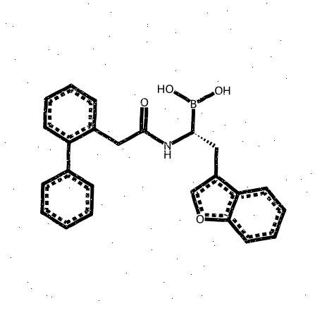 O=C(Cc1ccccc1-c1ccccc1)N[C@@H](Cc1coc2ccccc12)B(O)O